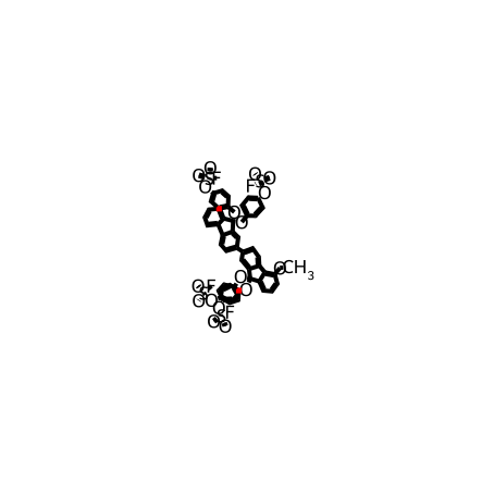 COc1cccc2c1-c1ccc(-c3ccc4c(c3)C(Oc3ccc(OS(=O)(=O)F)cc3)(Oc3ccc(OS(=O)(=O)F)cc3)c3ccccc3-4)cc1C2(Oc1ccc(OS(=O)(=O)F)cc1)Oc1ccc(OS(=O)(=O)F)cc1